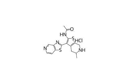 CC(=O)Nc1sc2c(c1-c1nc3cnccc3s1)CC(C)NC2.Cl